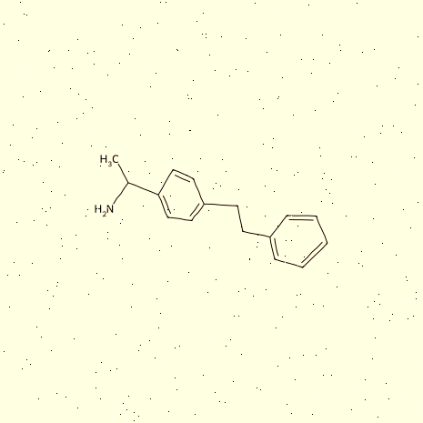 CC(N)c1ccc(CCc2ccccc2)cc1